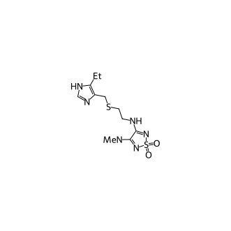 CCc1[nH]cnc1CSCCNC1=NS(=O)(=O)N=C1NC